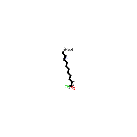 CCCCCCCC/C=C/CCCCCCCC(=O)Cl